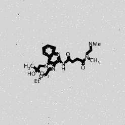 CCOCc1nc2c(NC(=O)CCC(=O)N(C)CCNC)nc3ccccc3c2n1CC(C)(C)O